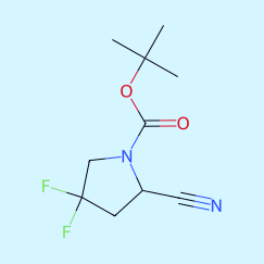 CC(C)(C)OC(=O)N1CC(F)(F)CC1C#N